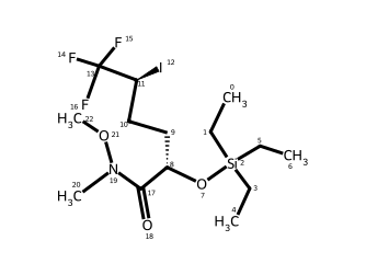 CC[Si](CC)(CC)O[C@@H](CC[C@H](I)C(F)(F)F)C(=O)N(C)OC